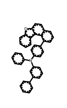 c1ccc(-c2cccc(N(c3ccccc3)c3ccc(-c4cccc5ccc6oc7ccccc7c6c45)cc3)c2)cc1